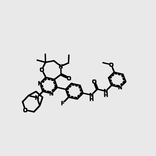 CCN1CC(C)(C)Oc2nc(N3C4CCC3COC4)nc(-c3ccc(NC(=O)Nc4cc(OC)ccn4)cc3F)c2C1=O